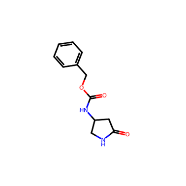 O=C1CC(NC(=O)OCc2ccccc2)CN1